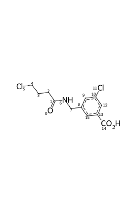 O=C(CCCCl)NCc1cc(Cl)cc(C(=O)O)c1